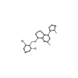 Cc1cc(-n2ccnc2C)c2cccc(OCc3c(Cl)cncc3Cl)c2n1